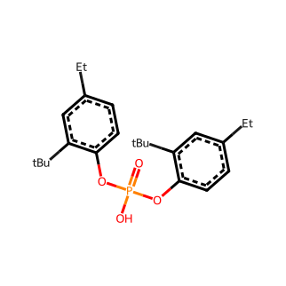 CCc1ccc(OP(=O)(O)Oc2ccc(CC)cc2C(C)(C)C)c(C(C)(C)C)c1